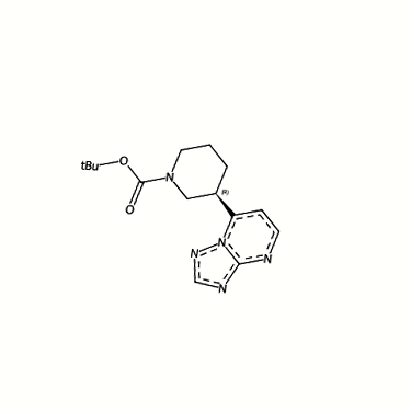 CC(C)(C)OC(=O)N1CCC[C@@H](c2ccnc3ncnn23)C1